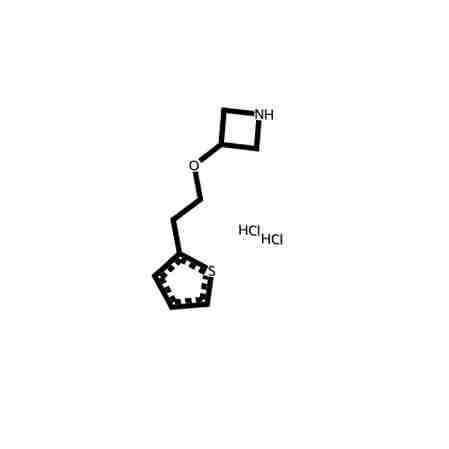 Cl.Cl.c1csc(CCOC2CNC2)c1